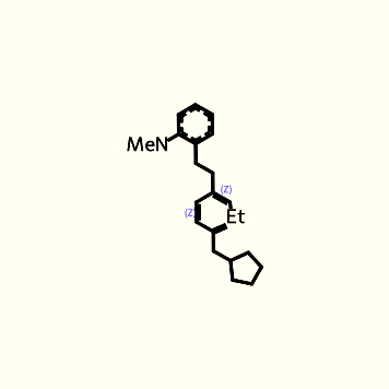 C=C(/C=C\C(=C/CC)CCc1ccccc1NC)CC1CCCC1